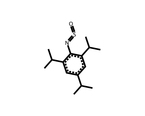 CC(C)c1cc(C(C)C)c(N=S=O)c(C(C)C)c1